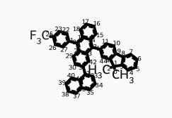 CC1(C)c2ccccc2-c2ccc(-c3c4ccccc4c(-c4ccc(C(F)(F)F)cc4)c4ccc(-c5cccc6ccccc56)cc34)cc21